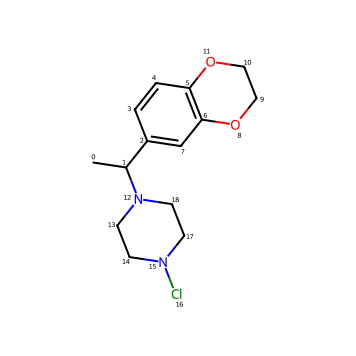 CC(c1ccc2c(c1)OCCO2)N1CCN(Cl)CC1